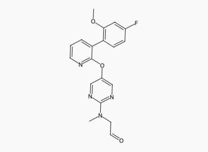 COc1cc(F)ccc1-c1cccnc1Oc1cnc(N(C)CC=O)nc1